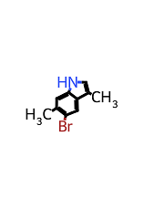 Cc1cc2[nH]cc(C)c2cc1Br